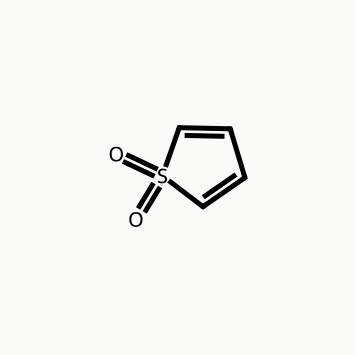 O=S1(=O)C=CC=C1